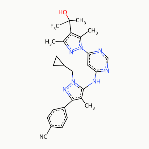 Cc1nn(-c2cc(Nc3c(C)c(-c4ccc(C#N)cc4)nn3CC3CC3)ncn2)c(C)c1C(C)(O)C(F)(F)F